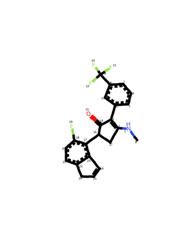 CNC1=C(c2cccc(C(F)(F)F)c2)C(=O)C(c2c(F)ccc3c2C=CC3)C1